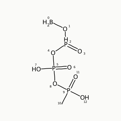 BO[PH](=O)OP(=O)(O)OP(C)(=O)O